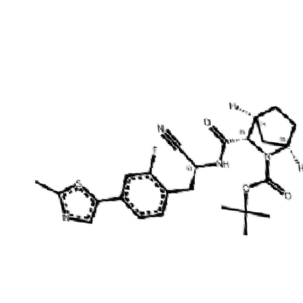 Cc1ncc(-c2ccc(C[C@@H](C#N)NC(=O)[C@@H]3[C@H]4CC[C@H](C4)N3C(=O)OC(C)(C)C)c(F)c2)s1